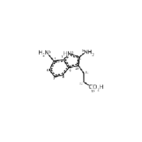 Nc1[nH]c2c(N)cccc2c1CCC(=O)O